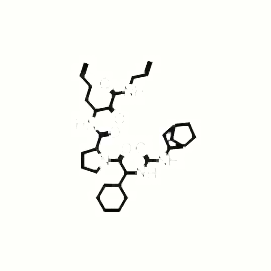 C=CCCC(NC(=O)C1CCCN1C(=O)C(NC(=O)NC1CC2CCC1C2)C1CCCCC1)C(=O)C(=O)NCC=C